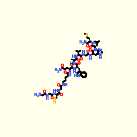 CSCC[C@H](NC(=O)[C@H](CC(C)C)NC(=O)[C@H](Cc1cnc[nH]1)NC(=O)CNC(=O)[C@@H](NC(=O)[C@H](C)NC(=O)[C@H](Cc1c[nH]c2ccccc12)NC(=O)[C@H](CCC(N)=O)NC(=O)CCCCNC(=O)CNC(=O)[C@H](CS)NC(=O)CNC(=O)CN)C(C)C)C(N)=O